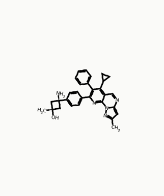 Cc1cc2ncc3c(C4CC4)c(-c4ccccc4)c(-c4ccc([C@]5(N)C[C@](C)(O)C5)cc4)nc3n2n1